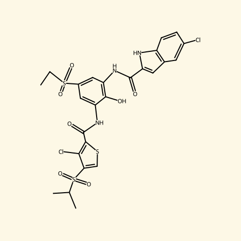 CCS(=O)(=O)c1cc(NC(=O)c2cc3cc(Cl)ccc3[nH]2)c(O)c(NC(=O)c2scc(S(=O)(=O)C(C)C)c2Cl)c1